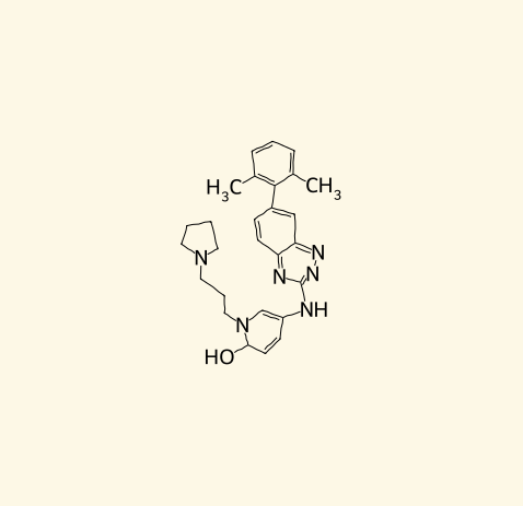 Cc1cccc(C)c1-c1ccc2nc(NC3=CN(CCCN4CCCC4)C(O)C=C3)nnc2c1